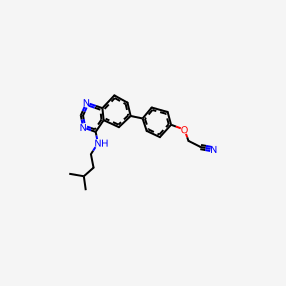 CC(C)CCNc1ncnc2ccc(-c3ccc(OCC#N)cc3)cc12